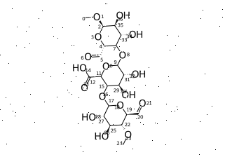 CO[C@@H]1O[C@@H](C=O)C(OC2OC(C(=O)O)C(OC3O[C@@H](C=O)[C@H](OC)[C@@H](O)[C@@H]3O)[C@H](O)[C@H]2O)[C@@H](O)[C@@H]1O